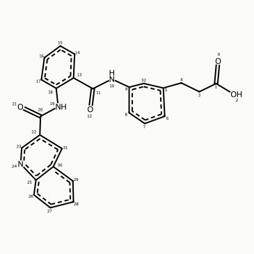 O=C(O)CCc1cccc(NC(=O)c2ccccc2NC(=O)c2cnc3ccccc3c2)c1